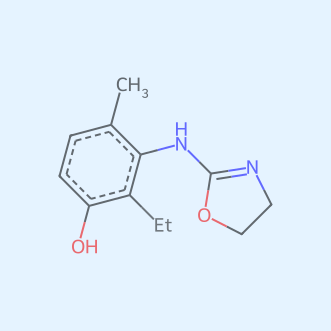 CCc1c(O)ccc(C)c1NC1=NCCO1